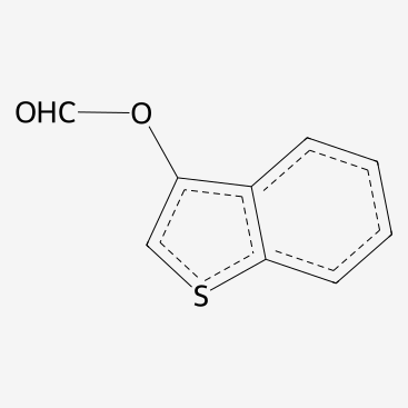 O=COc1csc2ccccc12